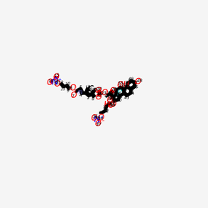 Cc1cc(/C=C/C(=O)OCCCCO[N+](=O)[O-])ccc1OC(=O)OCC(=O)[C@@]1(OC(=O)CCCO[N+](=O)[O-])[C@H](O)CC2C3CCC4=CC(=O)C=C[C@]4(C)[C@@]3(F)[C@@H](O)C[C@@]21C